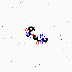 CC1(C)C=C(c2nccnc2Oc2ccc(C(=O)c3nc4cccnc4[nH]3)cc2)C(=O)CC1